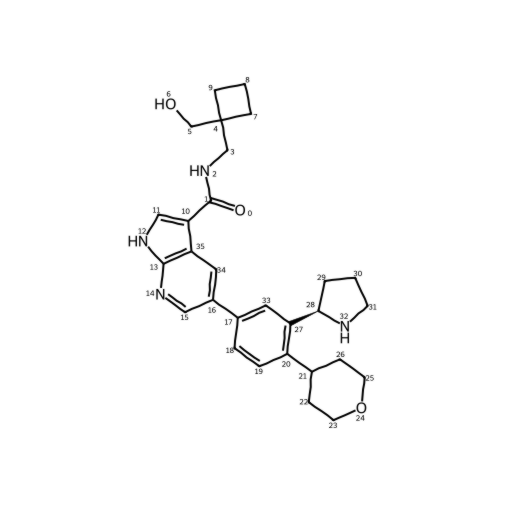 O=C(NCC1(CO)CCC1)c1c[nH]c2ncc(-c3ccc(C4CCOCC4)c([C@H]4CCCN4)c3)cc12